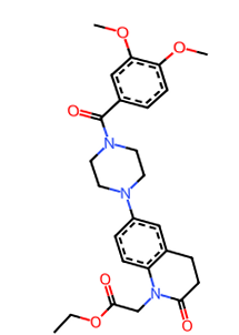 CCOC(=O)CN1C(=O)CCc2cc(N3CCN(C(=O)c4ccc(OC)c(OC)c4)CC3)ccc21